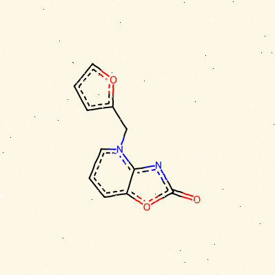 O=c1nc2n(Cc3ccco3)cccc-2o1